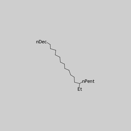 [CH2]CCCCCCCCCCCCCCCCCCCCCC(CC)CCCC[CH2]